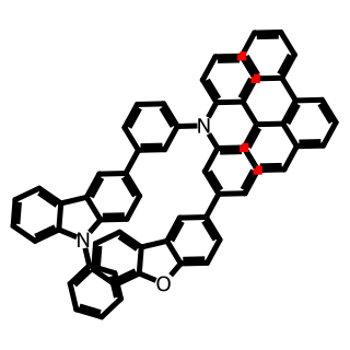 c1ccc(-c2cccc3cccc(-c4ccccc4N(c4cccc(-c5ccc6oc7ccccc7c6c5)c4)c4cccc(-c5ccc6c(c5)c5ccccc5n6-c5ccccc5)c4)c23)cc1